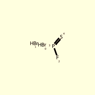 Br.Br.FP=S